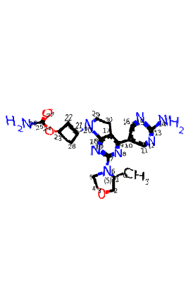 C[C@H]1COCCN1c1nc(-c2cnc(N)nc2)c2c(n1)N([C@H]1C[C@H](OC(N)=O)C1)CC2